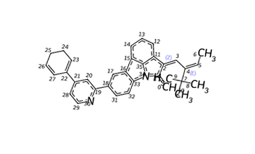 C=c1/c(=C\C(=C/C)C(C)(C)C)c2cccc3c4cc(-c5cc(C6=CCCC=C6)ccn5)ccc4n1c23